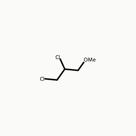 COCC(Cl)CCl